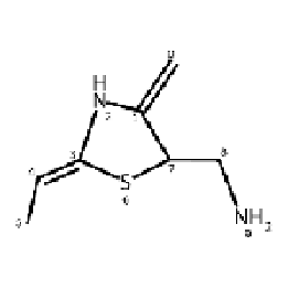 C=C1N/C(=C/C)SC1CN